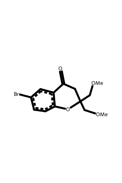 COCC1(COC)CC(=O)c2cc(Br)ccc2O1